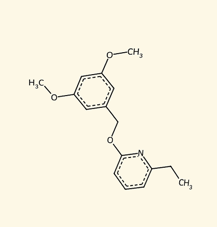 CCc1cccc(OCc2cc(OC)cc(OC)c2)n1